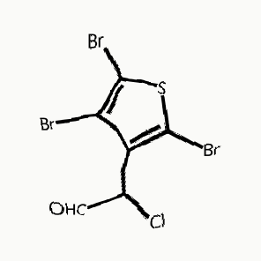 O=CC(Cl)c1c(Br)sc(Br)c1Br